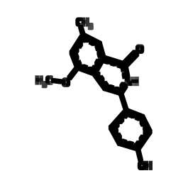 COc1cc(C)cc2c(=O)[nH]c(-c3ccc(O)cc3)cc12